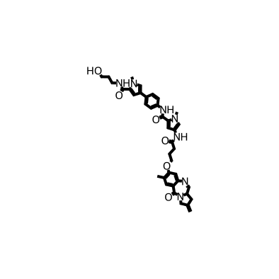 C=C1CC2C=Nc3cc(OCCCC(=O)Nc4cc(C(=O)Nc5ccc(-c6cc(C(=O)NCCCO)n(C)c6)cc5)n(C)c4)c(C)cc3C(=O)N2C1